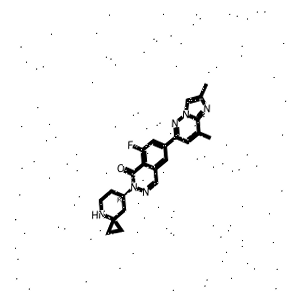 Cc1cn2nc(-c3cc(F)c4c(=O)n([C@@H]5CCNC6(CC6)C5)ncc4c3)cc(C)c2n1